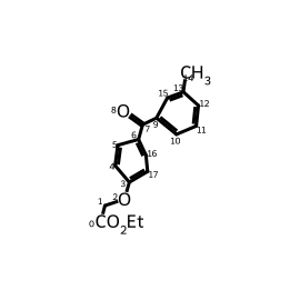 CCOC(=O)COc1ccc(C(=O)c2cccc(C)c2)cc1